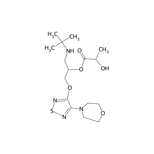 CC(O)C(=O)OC(CNC(C)(C)C)COc1nsnc1N1CCOCC1